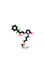 O=C1CC[C@H](C=CC(O)C(F)(F)c2ccccc2)N1CCCCSCS(=O)(=O)O